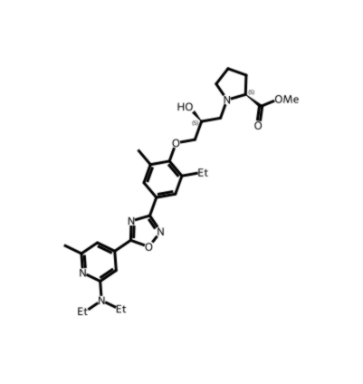 CCc1cc(-c2noc(-c3cc(C)nc(N(CC)CC)c3)n2)cc(C)c1OC[C@@H](O)CN1CCC[C@H]1C(=O)OC